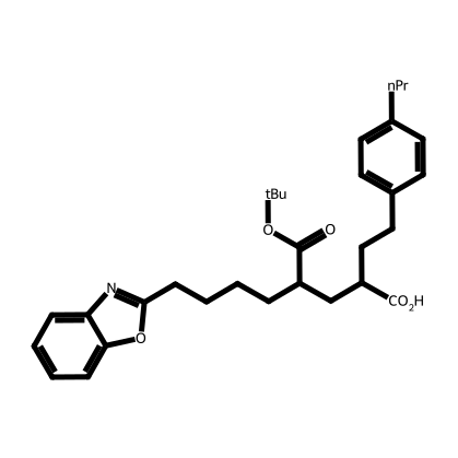 CCCc1ccc(CCC(CC(CCCCc2nc3ccccc3o2)C(=O)OC(C)(C)C)C(=O)O)cc1